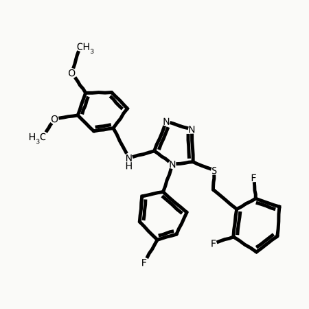 COc1ccc(Nc2nnc(SCc3c(F)cccc3F)n2-c2ccc(F)cc2)cc1OC